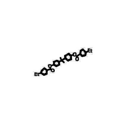 CCc1ccc(C(=O)Oc2ccc(C(C)(C)c3ccc(OC(=O)c4ccc(CC)cc4)cc3)cc2)cc1